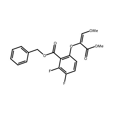 COC=C(Oc1ccc(F)c(F)c1C(=O)OCc1ccccc1)C(=O)OC